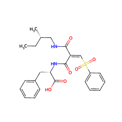 CC[C@H](C)CNC(=O)C(=CS(=O)(=O)c1ccccc1)C(=O)N[C@@H](Cc1ccccc1)C(=O)O